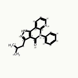 CC(C)Cc1n[nH]c2c1c(=O)n(-c1ccccc1)c1ncccc21